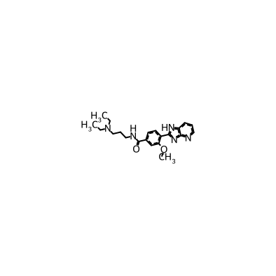 CCN(CC)CCCNC(=O)c1ccc(-c2nc3ncccc3[nH]2)c(OC)c1